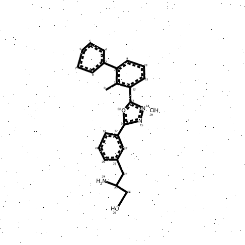 Cc1c(-c2ccccc2)cccc1-c1nnc(-c2cccc(CC(N)CO)c2)o1.Cl